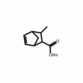 COC(=O)C1C2C=CC(C2)C1C